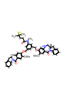 COc1cc(C(=O)N2CCc3ccccc32)c(N=O)cc1OCc1cc(COc2cc3c(cc2OC)C(=O)N2c4ccccc4C[C@H]2CN3)cc(N(C)C(=O)CCC(C)(C)S)c1